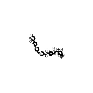 CN(C(=O)C1CCN(CC2CCN(c3ccc(C4CCC(=O)NC4=O)cn3)CC2)CC1)c1ccc2cc(-c3n[nH]c4c3C[C@@H]3C(F)(F)[C@]3(C)C4)[nH]c2c1